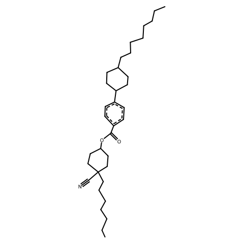 CCCCCCCCC1CCC(c2ccc(C(=O)OC3CCC(C#N)(CCCCCCC)CC3)cc2)CC1